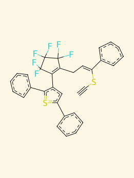 C#CS/C(=C\CC1=C(c2cc(-c3ccccc3)sc2-c2ccccc2)C(F)(F)C(F)(F)C1(F)F)c1ccccc1